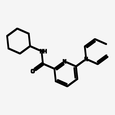 C=CN(/C=C\C)c1cccc(C(=O)NC2CCCCC2)n1